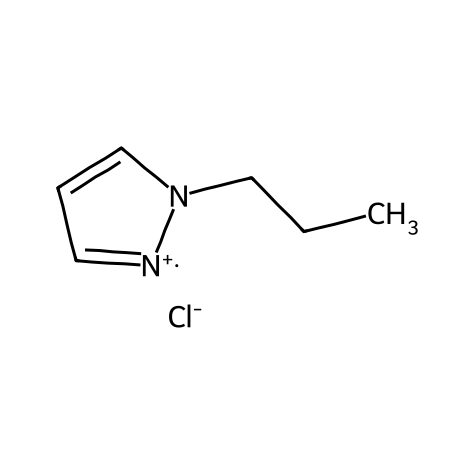 CCCN1C=CC=[N+]1.[Cl-]